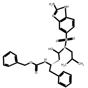 CC(C)CN(C(O)C[C@H](Cc1ccccc1)NC(=O)OCc1ccccc1)S(=O)(=O)c1ccc2[nH]c(N)nc2c1